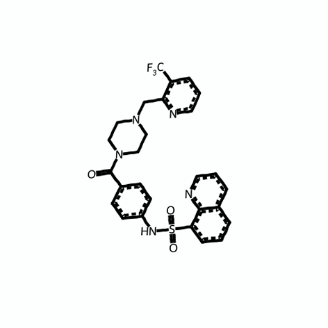 O=C(c1ccc(NS(=O)(=O)c2cccc3cccnc23)cc1)N1CCN(Cc2ncccc2C(F)(F)F)CC1